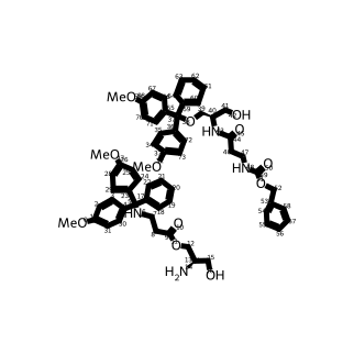 COc1ccc(C(NCCC(=O)OC[C@H](N)CO)(c2ccccc2)c2ccc(OC)cc2)cc1.COc1ccc(C(OC[C@@H](CO)NC(=O)CCNC(=O)OCc2ccccc2)(c2ccccc2)c2ccc(OC)cc2)cc1